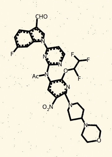 CC(=O)N(c1nccc(-n2cc(C=O)c3ccc(F)cc32)n1)c1cc([N+](=O)[O-])c(N2CCC(N3CCOCC3)CC2)nc1OC(F)C(F)F